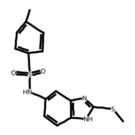 CSc1nc2cc(NS(=O)(=O)c3ccc(C)cc3)ccc2[nH]1